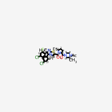 CCC1CCC(C(=O)N2CCN(C(C)=O)C(C)C2)N1C(=O)C1=C(C(C)C)N2C(=NC(C)(c3ccc(Cl)cc3F)C2c2ccc(Cl)cc2)S1